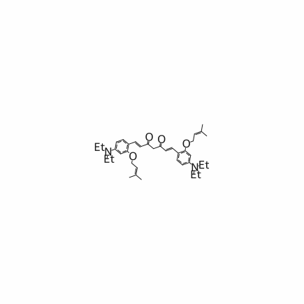 CCN(CC)c1ccc(C=CC(=O)CC(=O)C=Cc2ccc(N(CC)CC)cc2OCC=C(C)C)c(OCC=C(C)C)c1